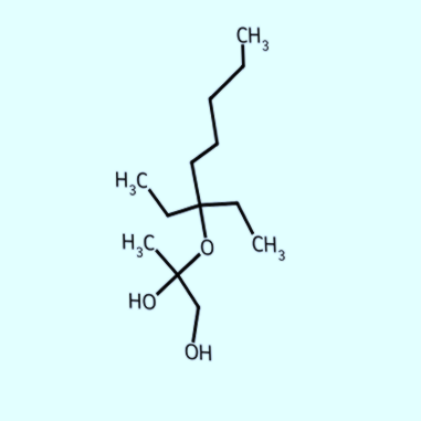 CCCCCC(CC)(CC)OC(C)(O)CO